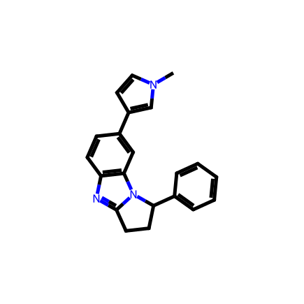 Cn1ccc(-c2ccc3nc4n(c3c2)C(c2ccccc2)CC4)c1